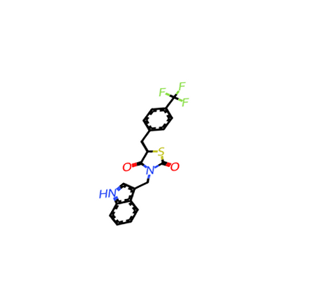 O=C1SC(Cc2ccc(C(F)(F)F)cc2)C(=O)N1Cc1c[nH]c2ccccc12